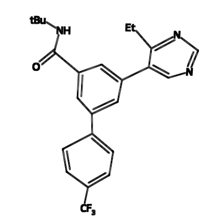 CCc1ncncc1-c1cc(C(=O)NC(C)(C)C)cc(-c2ccc(C(F)(F)F)cc2)c1